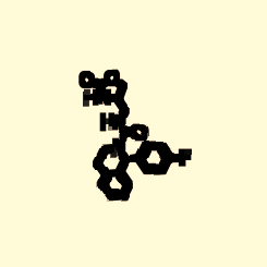 O=C1NC(CNC(=O)N2CCc3ccccc3[C@@H]2c2ccc(F)cc2)CO1